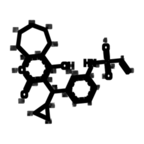 C=CS(=O)(=O)Nc1cccc(C(c2c(O)c3c(oc2=O)CCCCC3)C2CC2)c1